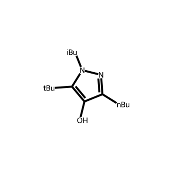 CCCCc1nn(C(C)CC)c(C(C)(C)C)c1O